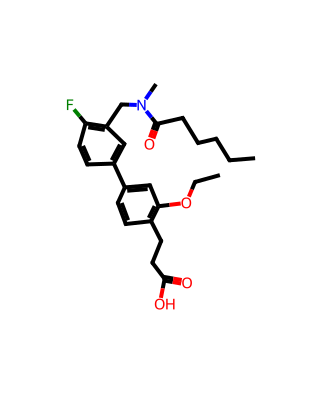 CCCCCC(=O)N(C)Cc1cc(-c2ccc(CCC(=O)O)c(OCC)c2)ccc1F